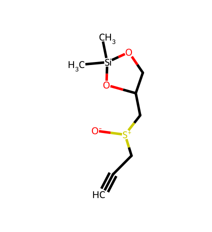 C#CC[S+]([O-])CC1CO[Si](C)(C)O1